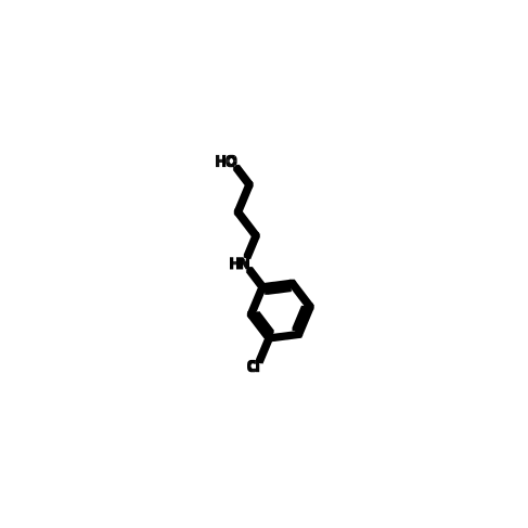 OCCCNc1cccc(Cl)c1